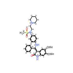 COc1cc2c(cc1OC)C(=C(Nc1ccc(N(CCN3CCCCC3)S(C)(=O)=O)cc1)c1ccccc1)C(=O)N2